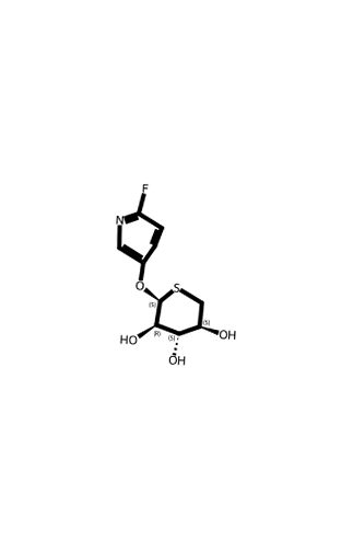 O[C@@H]1[C@@H](O)[C@@H](Oc2ccc(F)nc2)SC[C@H]1O